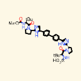 COC(=O)N[C@H](C(=O)N1CCCC1c1ncc(-c2ccc(-c3ccc(-c4cnc([C@@H]5CCCN5C(=O)[C@@H](NC(=O)O)C(C)(C)C)[nH]4)cc3)cc2)[nH]1)C(C)(C)C